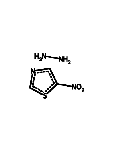 NN.O=[N+]([O-])c1cncs1